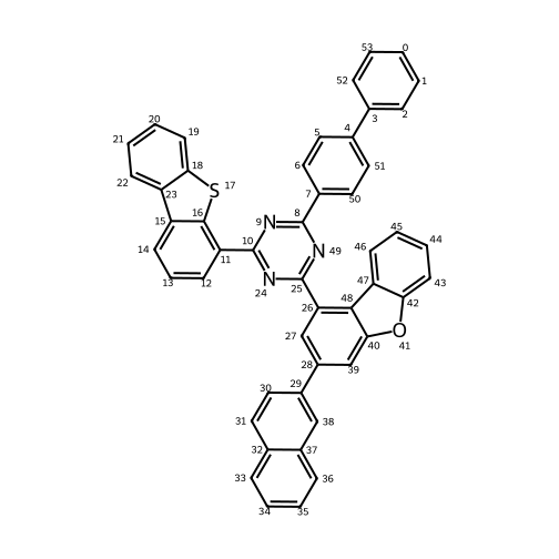 c1ccc(-c2ccc(-c3nc(-c4cccc5c4sc4ccccc45)nc(-c4cc(-c5ccc6ccccc6c5)cc5oc6ccccc6c45)n3)cc2)cc1